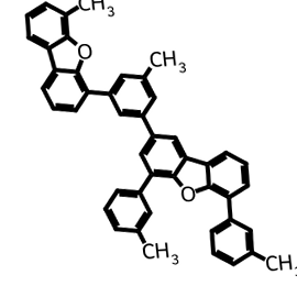 Cc1cc(-c2cc(-c3cccc(C)c3)c3oc4c(-c5cccc(C)c5)cccc4c3c2)cc(-c2cccc3c2oc2c(C)cccc23)c1